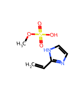 C=Cc1ncc[nH]1.COS(=O)(=O)O